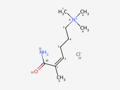 CC(=CCCC[N+](C)(C)C)C(N)=O.[Cl-]